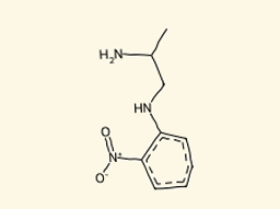 CC(N)CNc1ccccc1[N+](=O)[O-]